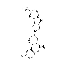 Cc1ccn2nc3c(c2n1)CN(C1CO[C@H](c2cc(F)ccc2F)C(N)C1)C3